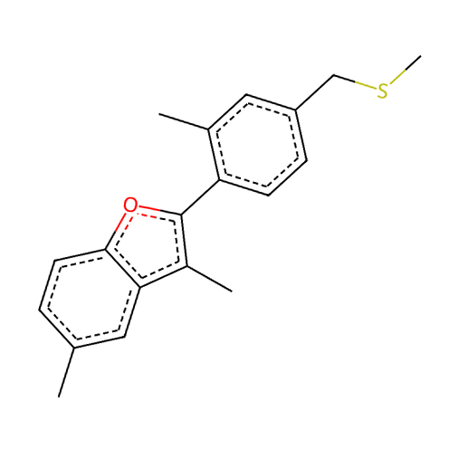 CSCc1ccc(-c2oc3ccc(C)cc3c2C)c(C)c1